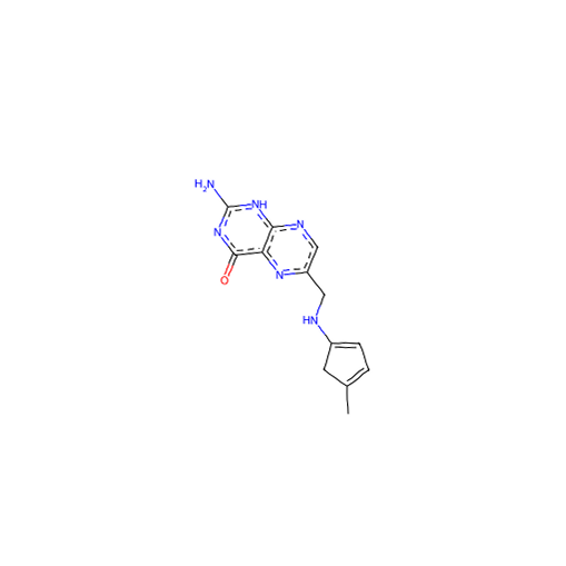 CC1=CC=C(NCc2cnc3[nH]c(N)nc(=O)c3n2)C1